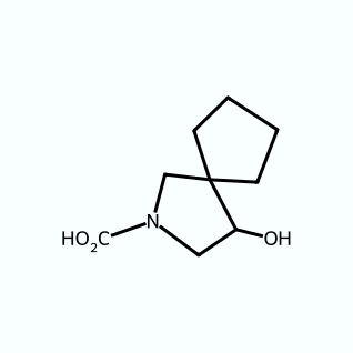 O=C(O)N1CC(O)C2(CCCC2)C1